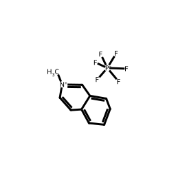 C[n+]1ccc2ccccc2c1.F[P-](F)(F)(F)(F)F